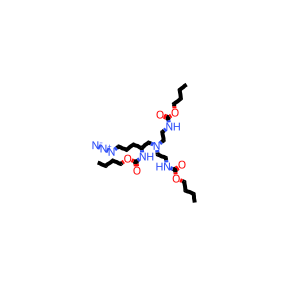 CCCCOC(=O)NCCN(CCNC(=O)OCCCC)CC(CCCN=[N+]=[N-])NC(=O)OCCCC